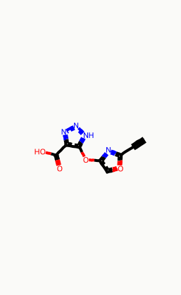 C#Cc1nc(Oc2[nH]nnc2C(=O)O)co1